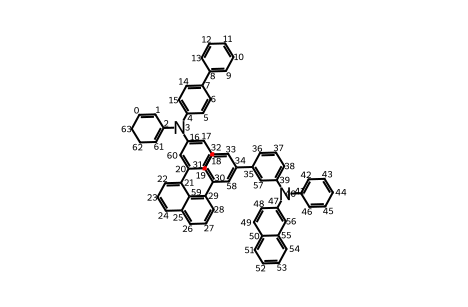 C1=CC(N(c2ccc(-c3ccccc3)cc2)c2cccc(-c3cccc4cccc(-c5cccc(-c6cccc(N(c7ccccc7)c7ccc8ccccc8c7)c6)c5)c34)c2)=CCC1